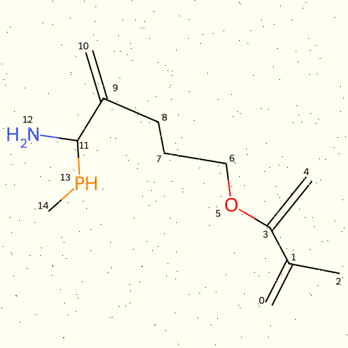 C=C(C)C(=C)OCCCC(=C)C(N)PC